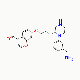 NCc1cccc(N2CCNCC2CCCOc2ccc3c(c2)OC=CC3C=O)c1